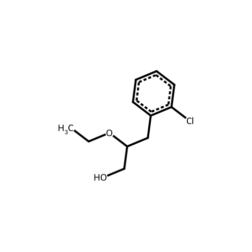 CCOC(CO)Cc1ccccc1Cl